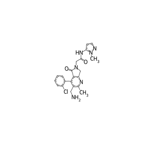 Cc1nc2c(c(-c3ccccc3Cl)c1CN)C(=O)N(CC(=O)Nc1ccnn1C)C2